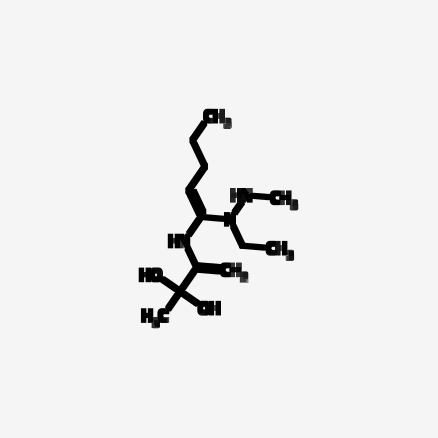 C=C(N/C(=C/CCC)N(CC)NC)C(C)(O)O